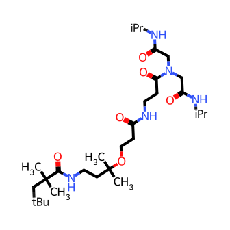 CC(C)NC(=O)CN(CC(=O)NC(C)C)C(=O)CCNC(=O)CCOC(C)(C)CCNC(=O)C(C)(C)CC(C)(C)C